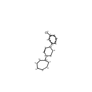 Clc1cccc(N2CCN(C3CCCCCC3)CC2)c1